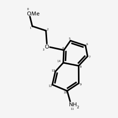 COCCOc1cccc2cc(N)ccc12